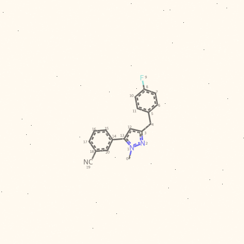 Cn1nc(Cc2ccc(F)cc2)cc1-c1cccc(C#N)c1